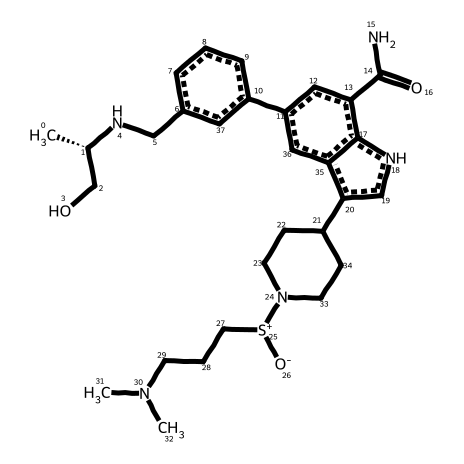 C[C@@H](CO)NCc1cccc(-c2cc(C(N)=O)c3[nH]cc(C4CCN([S+]([O-])CCCN(C)C)CC4)c3c2)c1